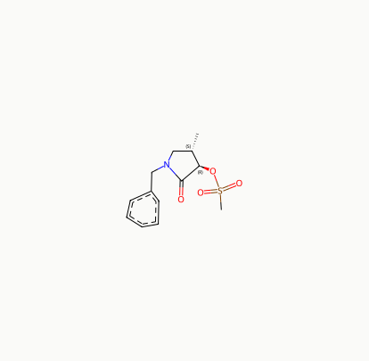 C[C@H]1CN(Cc2ccccc2)C(=O)[C@@H]1OS(C)(=O)=O